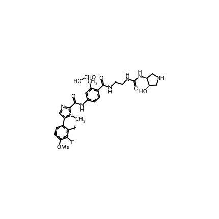 COc1ccc(-c2cnc(C(=O)Nc3ccc(C(=O)NCCNC(=O)N[C@H]4CNC[C@@H]4O)c(C)c3)n2C)c(F)c1F.O=CO